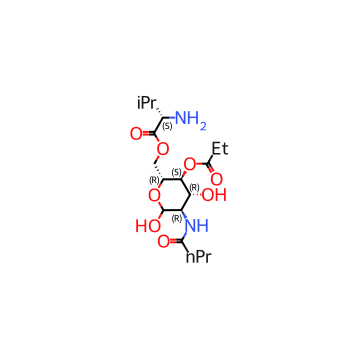 CCCC(=O)N[C@H]1C(O)O[C@H](COC(=O)[C@@H](N)C(C)C)[C@@H](OC(=O)CC)[C@@H]1O